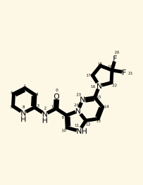 O=C(NC1=CC=CCN1)C1=CNC2C=CC(N3CCC(F)(F)C3)=NN12